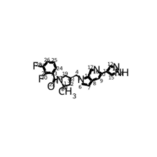 C[C@H]1C[C@H](Cn2ccc3cc(-c4cn[nH]c4)ncc32)CN1C(=O)c1cccc(F)c1F